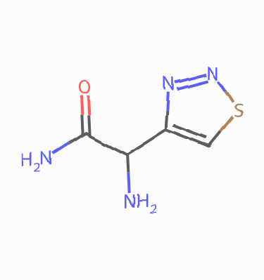 NC(=O)C(N)c1csnn1